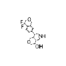 OC1COCC2C(c3ccc4c(c3)COCC4(F)F)CNCC12